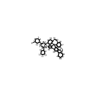 Cc1cccc(-c2nc(-c3ccccc3)nc(-c3ccc4c(c3)C3(c5ccccc5C=C4)c4ccccc4-c4cc5c(cc43)oc3ccccc35)n2)c1